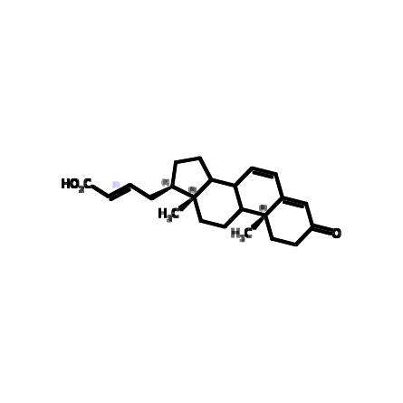 C[C@]12CCC(=O)C=C1C=CC1C2CC[C@@]2(C)C1CC[C@@H]2C/C=C/C(=O)O